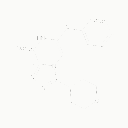 O=c1[nH]c(Cc2ccccc2)cn2c(C3CCOCC3)nnc12